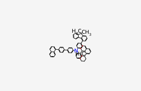 CC1(C)c2ccccc2-c2c(-c3ccc(N(c4ccc(-c5ccc(-c6cccc7ccccc67)cc5)cc4)c4ccccc4C4C=CC=C5C=CC=C(C6CCCCC6)C54C)cc3)cccc21